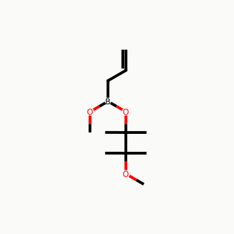 C=CCB(OC)OC(C)(C)C(C)(C)OC